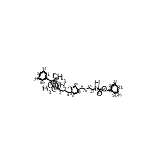 C[C@H](CCCc1ccc(CCCCNC(=O)OCc2ccccc2)cc1)N[C@@H](C)[C@@H](O)c1ccccc1